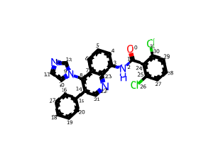 O=C(Nc1cccc2c(-n3ccnc3)c(-c3ccccc3)cnc12)c1c(Cl)cccc1Cl